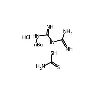 CCCCNC(=N)NC(=N)N.Cl.NC(=S)S